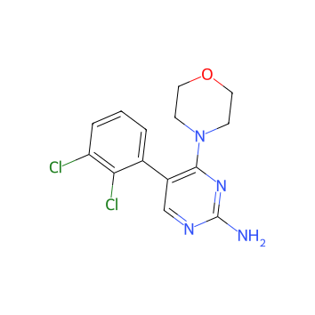 Nc1ncc(-c2cccc(Cl)c2Cl)c(N2CCOCC2)n1